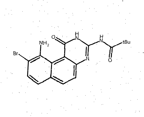 CC(C)(C)C(=O)Nc1nc2ccc3ccc(Br)c(N)c3c2c(=O)[nH]1